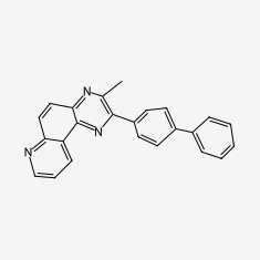 Cc1nc2ccc3ncccc3c2nc1-c1ccc(-c2ccccc2)cc1